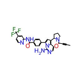 CC#CC(=O)N1CCCC1c1cc(-c2ccc(C(=O)Nc3cc(C(F)(F)F)ccn3)cc2)n2c(N)nccc12